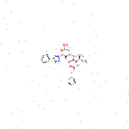 CC(C)[C@H](NC(=O)OCc1ccccc1)C(=O)NC(CC(=O)O)C(=O)Cn1nnc(-c2ccccc2)n1